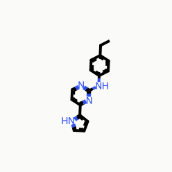 CCc1ccc(Nc2nccc(-c3ccc[nH]3)n2)cc1